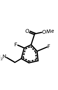 COC(=O)c1c(F)ccc(CN)c1F